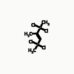 CC(=C[Si](C)(Cl)Cl)[Si](C)(Cl)Cl